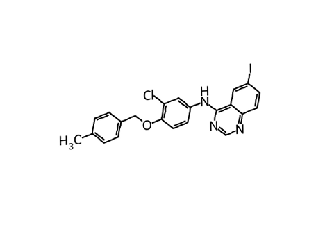 Cc1ccc(COc2ccc(Nc3ncnc4ccc(I)cc34)cc2Cl)cc1